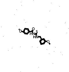 COc1ccc(C(=O)NC(=S)NCc2cccc(OC)c2)cc1